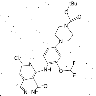 CC(C)(C)OC(=O)N1CCN(c2ccc(Nc3nc(Cl)cc4cn[nH]c(=O)c34)c(OC(F)F)c2)CC1